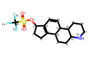 O=S(=O)(OC1CCC2=C1C=CC1C2CCC2NCCCC21)C(F)(F)F